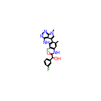 Cc1cc(NC(=O)C(O)c2cccc(F)c2)c(F)cc1-c1cn(C)c2ncnc(N)c12